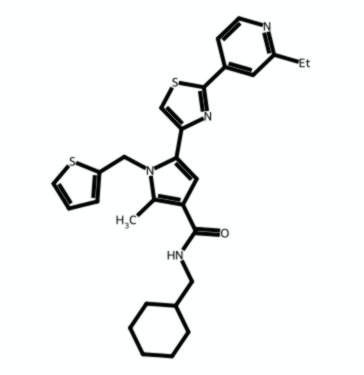 CCc1cc(-c2nc(-c3cc(C(=O)NCC4CCCCC4)c(C)n3Cc3cccs3)cs2)ccn1